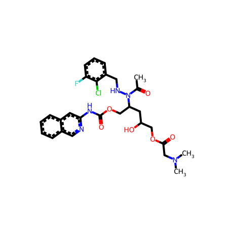 CC(=O)N(NCc1cccc(F)c1Cl)C(COC(=O)Nc1cc2ccccc2cn1)CC(O)COC(=O)CN(C)C